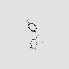 COc1ccc(OC2CCNCC2F)cc1